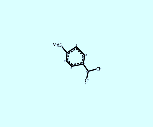 CSc1ccc(C(Cl)Cl)cc1